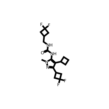 Cn1nc(C2CC(F)(F)C2)c(C2CCC2)c1NC(=O)NCC1CC(F)(F)C1